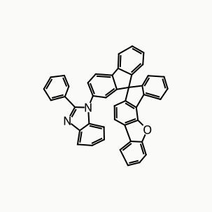 c1ccc(-c2nc3ccccc3n2-c2ccc3c(c2)C2(c4ccccc4-3)c3ccccc3-c3c2ccc2c3oc3ccccc32)cc1